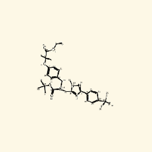 CCOC(=O)C(C)(C)Oc1ccc(CN(Cc2nc(-c3ccc(C(F)(F)F)cc3)nn2C)C(=O)OC(C)(C)C)cc1